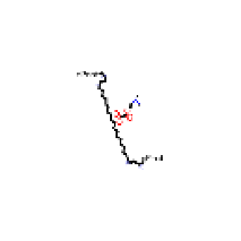 CCCCC/C=C\C/C=C\CCCCCCCCC(CCCCCCCC/C=C\C/C=C\CCCCC)OC(=O)C(=O)OCCN(C)C